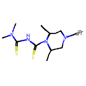 CC(C)N1CC(C)N(C(=S)NC(=S)N(C)C)C(C)C1